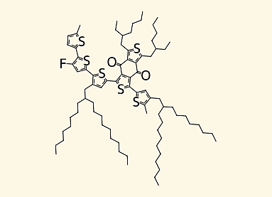 CCCCCCCCCCC(CCCCCCCC)Cc1cc(-c2sc(-c3cc(CC(CCCCCCCC)CCCCCCCCCC)c(-c4cc(F)c(-c5ccc(C)s5)s4)s3)c3c2C(=O)c2c(CC(CC)CCCC)sc(CC(CC)CCCC)c2C3=O)sc1C